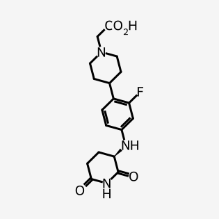 O=C(O)CN1CCC(c2ccc(N[C@@H]3CCC(=O)NC3=O)cc2F)CC1